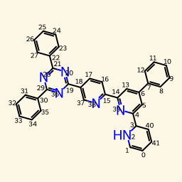 C1=CNC(c2cc(-c3ccccc3)cc(-c3ccc(-c4nc(-c5ccccc5)nc(-c5ccccc5)n4)cn3)n2)C=C1